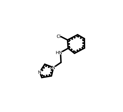 Clc1ccccc1NCn1ccnc1